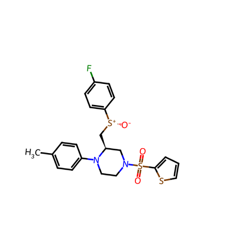 Cc1ccc(N2CCN(S(=O)(=O)c3cccs3)C[C@@H]2C[S@@+]([O-])c2ccc(F)cc2)cc1